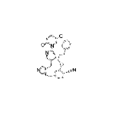 N#Cc1ccc(Cn2cncc2Cc2ccc(-n3cc(Cl)ccc3=O)nc2)cc1OCCCc1ccccc1